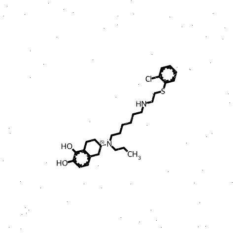 CCCN(CCCCCCNCCSc1ccccc1Cl)[C@H]1CCc2c(ccc(O)c2O)C1